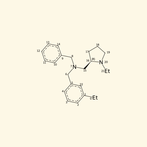 CCc1cccc(CN(Cc2ccccc2)C[C@H]2CCCN2CC)c1